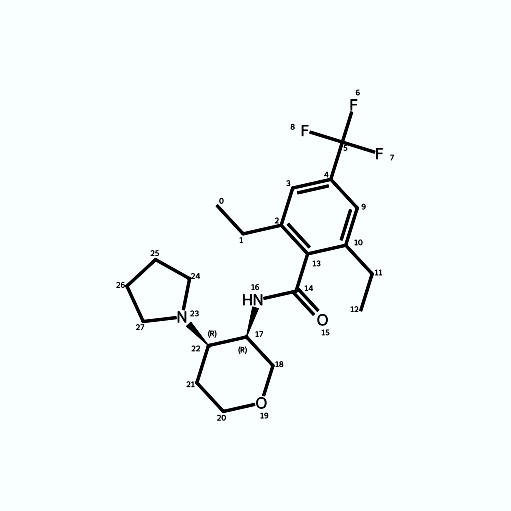 CCc1cc(C(F)(F)F)cc(CC)c1C(=O)N[C@H]1COCC[C@H]1N1CCCC1